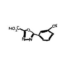 N#Cc1cccc(-c2nnc(C(=O)O)o2)c1